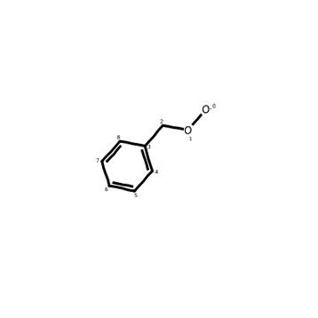 [O]OCc1ccccc1